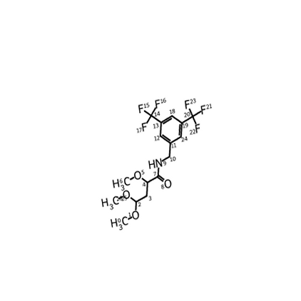 COC(CC(OC)C(=O)NCc1cc(C(F)(F)F)cc(C(F)(F)F)c1)OC